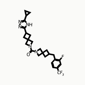 O=C(N1CC2(CC(Cc3ccc(C(F)(F)F)cc3F)C2)C1)N1CC2(CC(c3nnc(C4CC4)[nH]3)C2)C1